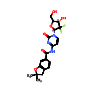 CC1(C)Cc2ccc(C(=O)Nc3ccn([C@@H]4OC(CO)[C@H](O)C4(F)F)c(=O)n3)cc2O1